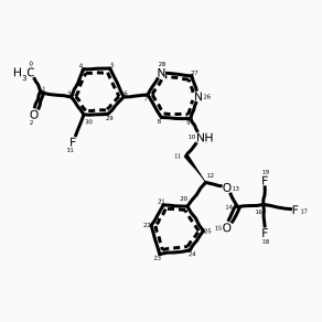 CC(=O)c1ccc(-c2cc(NC[C@@H](OC(=O)C(F)(F)F)c3ccccc3)ncn2)cc1F